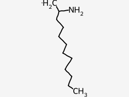 [CH2]C(N)CCCCCCCCCC